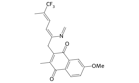 C=N/C(=C\C=C(/C)C(F)(F)F)CC1=C(C)C(=O)c2ccc(OC)cc2C1=O